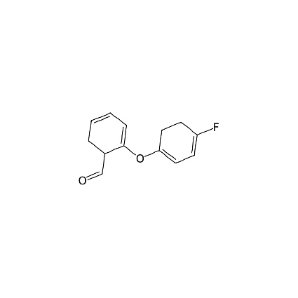 O=CC1CC=CC=C1OC1=CC=C(F)CC1